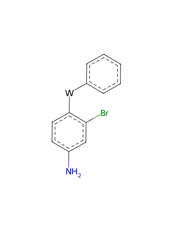 Nc1cc[c]([W][c]2ccccc2)c(Br)c1